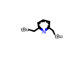 CC(C)(C)Cc1cccc(CC(C)(C)C)n1